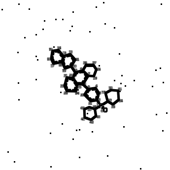 O=P(c1ccc(-c2c3c(c(-c4ccc5ccccc5c4)c4ccccc24)C=CCC3)cc1)(C1CCCCC1)C1CCCCC1